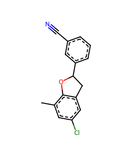 Cc1cc(Cl)cc2c1OC(c1cccc(C#N)c1)C2